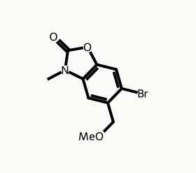 COCc1cc2c(cc1Br)oc(=O)n2C